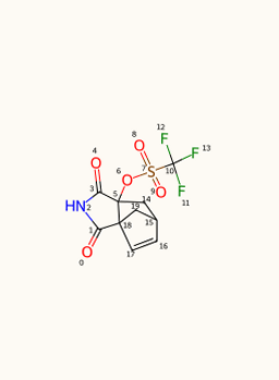 O=C1NC(=O)C2(OS(=O)(=O)C(F)(F)F)CC3C=CC12C3